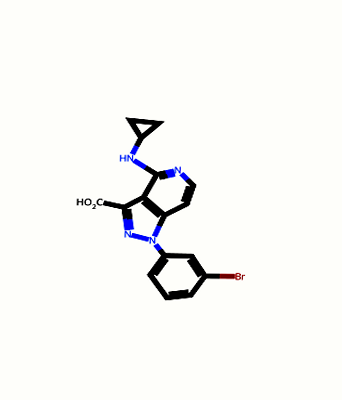 O=C(O)c1nn(-c2cccc(Br)c2)c2ccnc(NC3CC3)c12